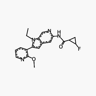 CCn1c(-c2cccnc2OC)cc2cc(NC(=O)C3CC3F)ncc21